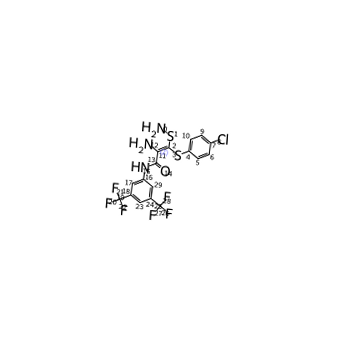 NS/C(Sc1ccc(Cl)cc1)=C(\N)C(=O)Nc1cc(C(F)(F)F)cc(C(F)(F)F)c1